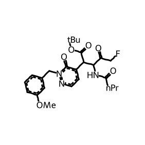 CCCC(=O)NC(C(=O)CF)C(C(=O)OC(C)(C)C)c1ccnn(Cc2cccc(OC)c2)c1=O